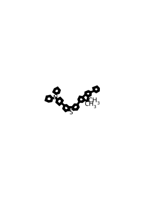 CC1(C)c2cc(-c3ccccc3)ccc2-c2ccc(-c3ccc4sc5ccc(-c6ccc(N(c7ccccc7)c7ccccc7)cc6)cc5c4c3)cc21